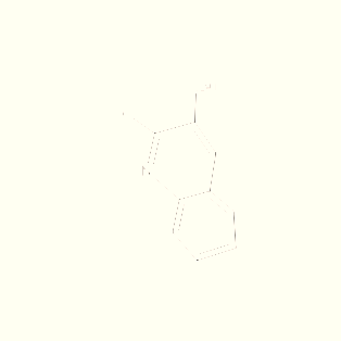 Cc1nc2ccccc2cc1C(C)(C)C